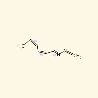 C=N/N=C/C=C\C=C/C